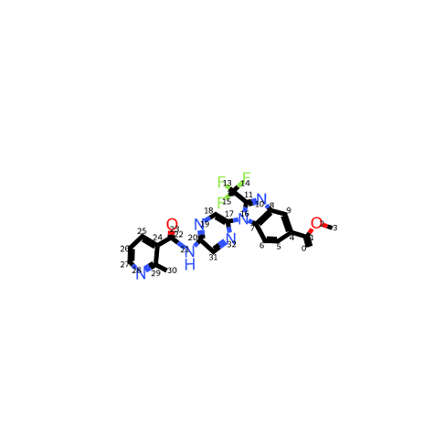 C=C(OC)c1ccc2c(c1)nc(C(F)(F)F)n2-c1cnc(NC(=O)c2cccnc2C)cn1